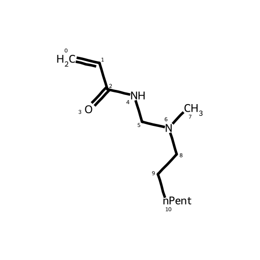 C=CC(=O)NCN(C)CCCCCCC